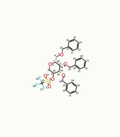 O=S(=O)(O[C@H]1CO[C@H](COCc2ccccc2)[C@H](OCc2ccccc2)[C@@H]1OCc1ccccc1)C(F)(F)F